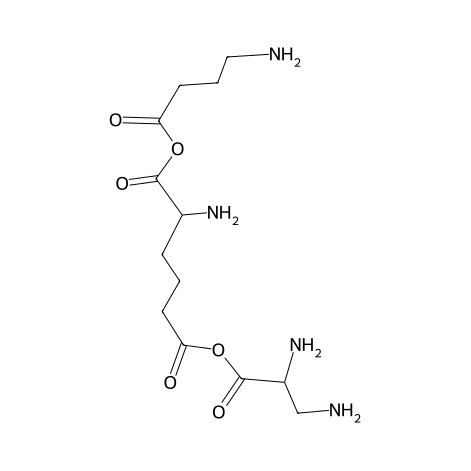 NCCCC(=O)OC(=O)C(N)CCCC(=O)OC(=O)C(N)CN